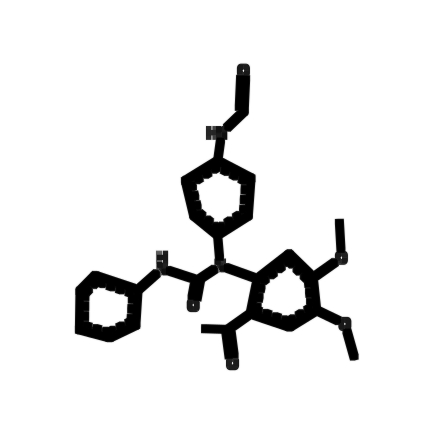 COc1cc(C(C)=O)c(N(C(=O)Nc2ccccc2)c2ccc(NC=O)cc2)cc1OC